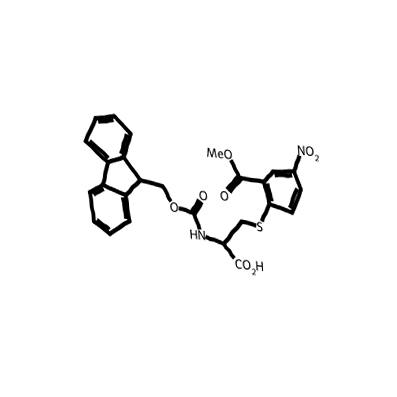 COC(=O)c1cc([N+](=O)[O-])ccc1SCC(NC(=O)OCC1c2ccccc2-c2ccccc21)C(=O)O